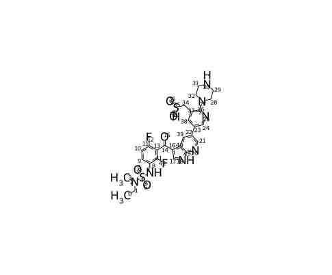 CCN(C)S(=O)(=O)Nc1ccc(F)c(C(=O)c2c[nH]c3ncc(-c4cnc(N5CCNCC5)c(C[SH](=O)=O)c4)cc23)c1F